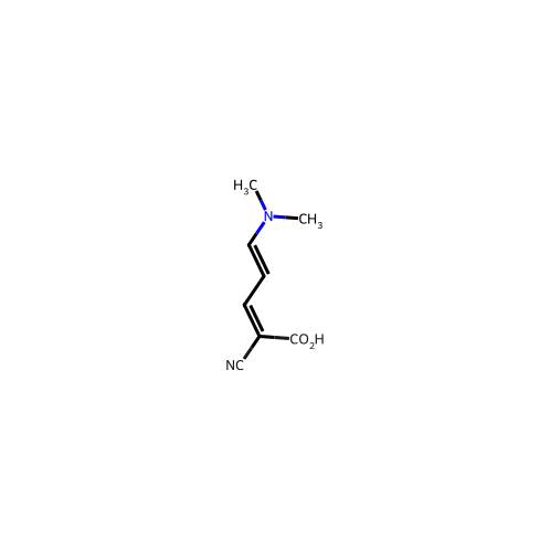 CN(C)C=CC=C(C#N)C(=O)O